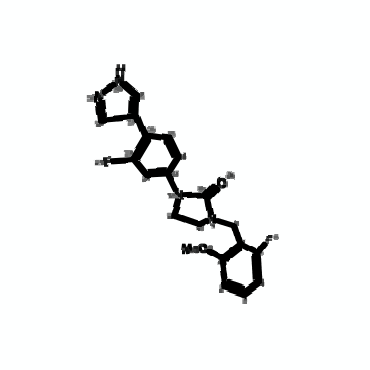 COc1cccc(F)c1CN1CCN(c2ccc(-c3cn[nH]c3)c(F)c2)C1=O